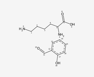 NCCCCC(N)C(=O)O.O=Cc1ccccc1O